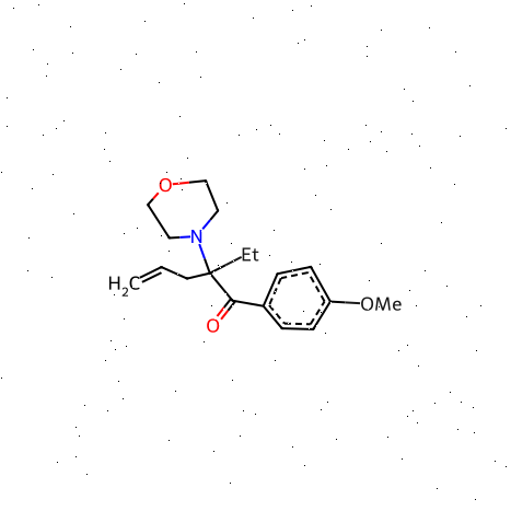 C=CCC(CC)(C(=O)c1ccc(OC)cc1)N1CCOCC1